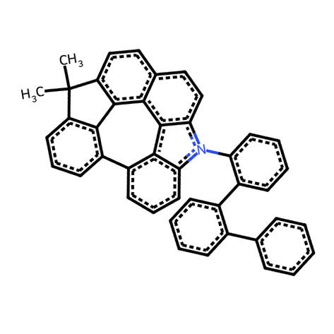 CC1(C)c2cccc3c2-c2c1ccc1ccc4c(c21)c1c-3cccc1n4-c1ccccc1-c1ccccc1-c1ccccc1